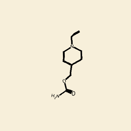 CCN1CCC(COC(N)=O)CC1